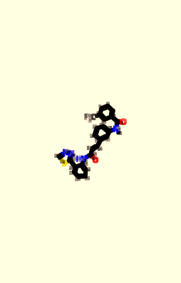 CN(C(=O)c1cccc(C(F)(F)F)c1)c1cccc(/C=C/C(=O)Nc2ccccc2-c2nncs2)c1